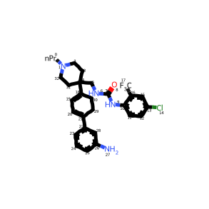 CCCN1CCC(CNC(=O)Nc2ccc(Cl)cc2C(F)(F)F)(C2=CC=C(c3cccc(N)c3)CC2)CC1